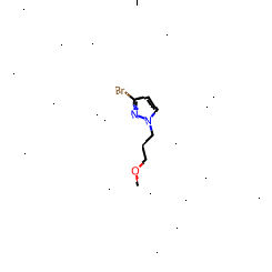 COCCCn1ccc(Br)n1